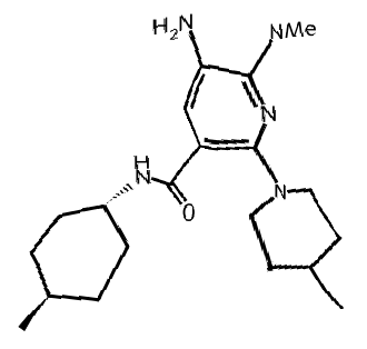 CNc1nc(N2CCC(C)CC2)c(C(=O)N[C@H]2CC[C@H](C)CC2)cc1N